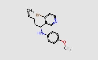 C=CCCC(Nc1ccc(OC)cc1)c1cnccc1Br